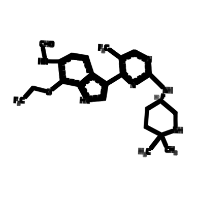 CC1(C)CC[C@H](Nc2ncc(C(F)(F)F)c(-c3c[nH]c4c(OCC(F)(F)F)c(NC=O)ccc34)n2)CN1